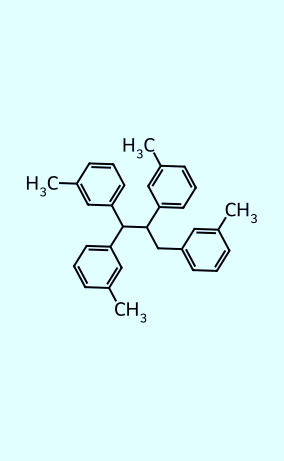 Cc1cccc(CC(c2cccc(C)c2)C(c2cccc(C)c2)c2cccc(C)c2)c1